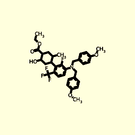 CCOC(=O)C1CC(C)C(c2c(C(F)(F)F)ccc(N(Cc3ccc(OC)cc3)Cc3ccc(OC)cc3)c2F)CC1O